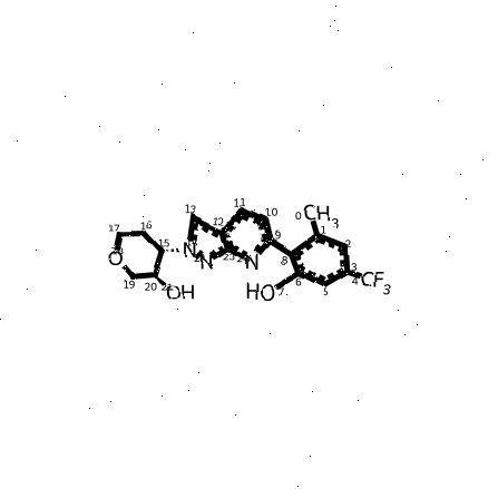 Cc1cc(C(F)(F)F)cc(O)c1-c1ccc2cn([C@H]3CCOC[C@@H]3O)nc2n1